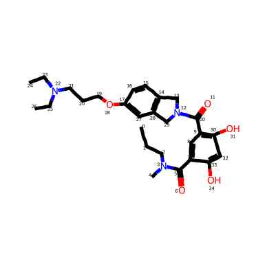 CCCN(C)C(=O)c1cc(C(=O)N2Cc3ccc(OCCCN(CC)CC)cc3C2)c(O)cc1O